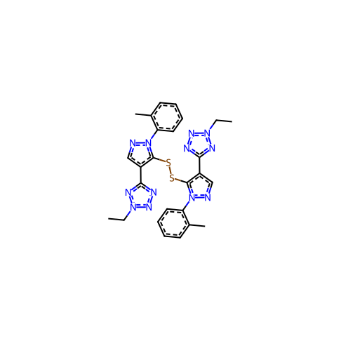 CCn1nnc(-c2cnn(-c3ccccc3C)c2SSc2c(-c3nnn(CC)n3)cnn2-c2ccccc2C)n1